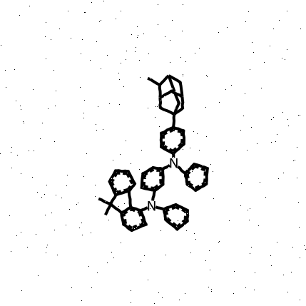 CC1C2CC3CC1CC(c1ccc(N(c4ccccc4)c4cccc(N(c5ccccc5)c5cccc6c5-c5ccccc5C6(C)C)c4)cc1)(C3)C2